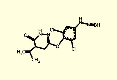 B=BNc1cc(Cl)c(OC2=NNC(=O)C(C(=C)C)C2)c(Cl)c1